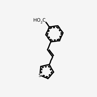 O=C(O)c1cccc(/C=C/c2ccsc2)c1